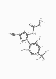 C=CC(=O)Nc1cc(C#N)nn1-c1c(Cl)cc(C(F)(F)F)cc1Cl